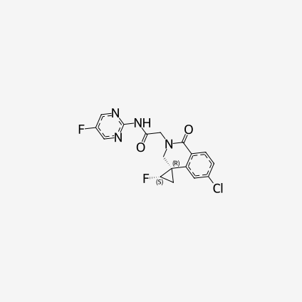 O=C(CN1C[C@@]2(C[C@@H]2F)c2cc(Cl)ccc2C1=O)Nc1ncc(F)cn1